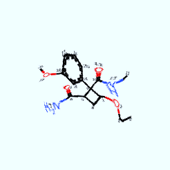 CCOC1CC(C(N)=O)C1(C(=O)NC)c1cccc(OC)c1